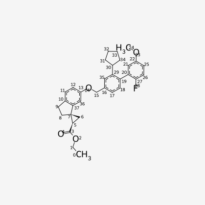 CCOC(=O)[C@@H]1C[C@]12CCc1ccc(OCc3ccc(-c4cc(OC)ccc4F)c(C4CCCC4)c3)cc12